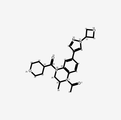 CC(=O)N1c2ccc(-c3cnn(C4COC4)c3)cc2N(C(=O)C2CCOCC2)CC1C